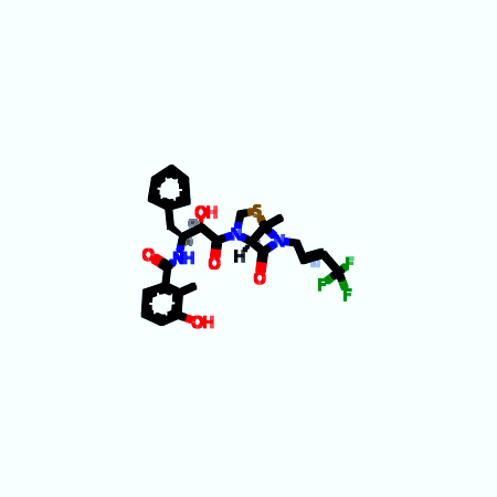 Cc1c(O)cccc1C(=O)N[C@@H](Cc1ccccc1)[C@H](O)C(=O)N1CSC2(C)[C@H]1C(=O)N2C/C=C/C(F)(F)F